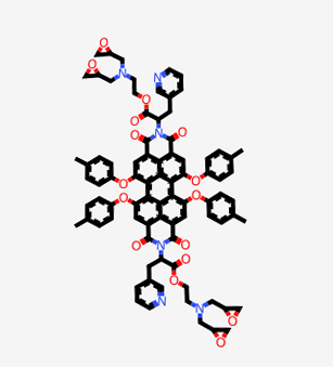 Cc1ccc(Oc2cc3c4c(cc(Oc5ccc(C)cc5)c5c6c(Oc7ccc(C)cc7)cc7c8c(cc(Oc9ccc(C)cc9)c(c2c45)c86)C(=O)N(C(Cc2cccnc2)C(=O)OCCN(CC2CO2)CC2CO2)C7=O)C(=O)N(C(Cc2cccnc2)C(=O)OCCN(CC2CO2)CC2CO2)C3=O)cc1